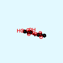 CC(COc1cc(O)c2c(=O)c(-c3ccc(O)cc3)coc2c1)Oc1ccc2c(=O)c(-c3ccccc3)coc2c1